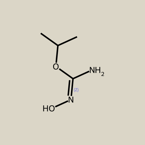 CC(C)O/C(N)=N\O